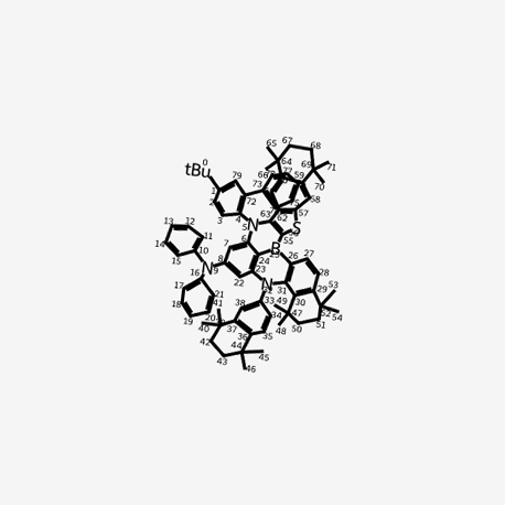 CC(C)(C)c1ccc(N2c3cc(N(c4ccccc4)c4ccccc4)cc4c3B(c3ccc5c(c3N4c3ccc4c(c3)C(C)(C)CCC4(C)C)C(C)(C)CCC5(C)C)c3sc4cc5c(cc4c32)C(C)(C)CCC5(C)C)c(-c2ccccc2)c1